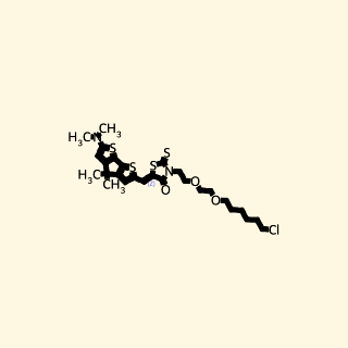 CN(C)c1cc2c(s1)-c1sc(/C=C3\SC(=S)N(CCOCCOCCCCCCCl)C3=O)cc1C2(C)C